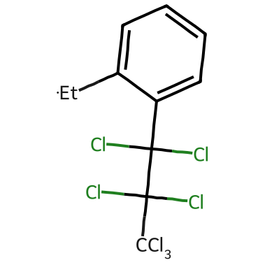 C[CH]c1ccccc1C(Cl)(Cl)C(Cl)(Cl)C(Cl)(Cl)Cl